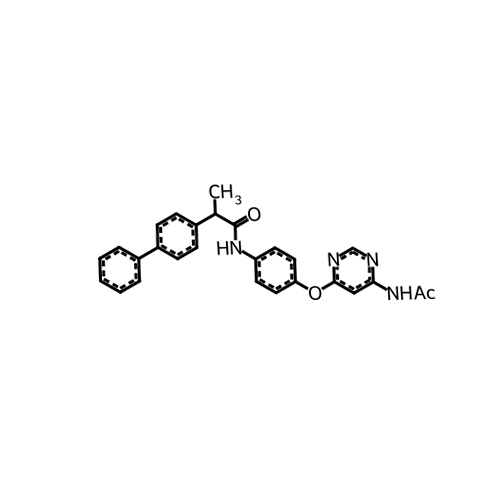 CC(=O)Nc1cc(Oc2ccc(NC(=O)C(C)c3ccc(-c4ccccc4)cc3)cc2)ncn1